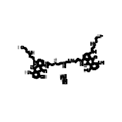 Cl.Cl.Cl.Cl.O=C1c2c(O)ccc(O)c2C(=O)c2c(NCCNCCNCCNCCNc3ccc(NCCNCCO)c4c3C(=O)c3c(O)ccc(O)c3C4=O)ccc(NCCNCCO)c21